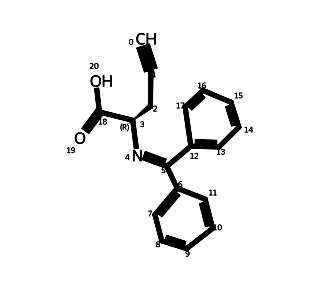 C#CC[C@@H](N=C(c1ccccc1)c1ccccc1)C(=O)O